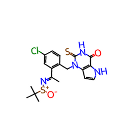 C/C(=N\[S+]([O-])C(C)(C)C)c1cc(Cl)ccc1Cn1c(=S)[nH]c(=O)c2[nH]ccc21